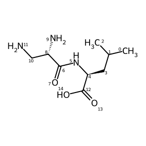 CC(C)C[C@H](NC(=O)[C@@H](N)CN)C(=O)O